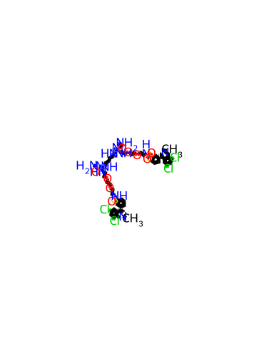 CN1Cc2c(Cl)cc(Cl)cc2[C@H](c2cccc([S+]([O-])NCCOCCOCCN/C(=N\C(N)=O)NCCCCN/C(=N/C(N)=O)NCCOCCOCCNS(=O)(=O)C3=CC=CC([C@@H]4CN(C)Cc5c(Cl)cc(Cl)cc54)C3)c2)C1